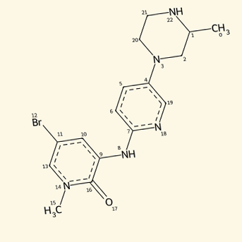 CC1CN(c2ccc(Nc3cc(Br)cn(C)c3=O)nc2)CCN1